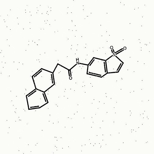 O=C(Cc1ccc2ccccc2c1)Nc1ccc2c(c1)S(=O)(=O)C=C2